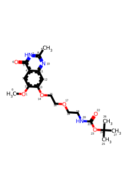 COc1cc2c(=O)[nH]c(C)nc2cc1OCCOCCNC(=O)OC(C)(C)C